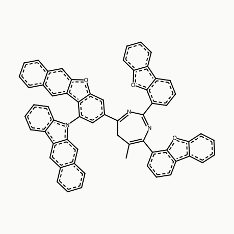 CC1=C(c2cccc3c2oc2ccccc23)N=C(c2cccc3c2oc2ccccc23)N=C(c2cc(-n3c4ccccc4c4cc5ccccc5cc43)c3c(c2)oc2cc4ccccc4cc23)C1